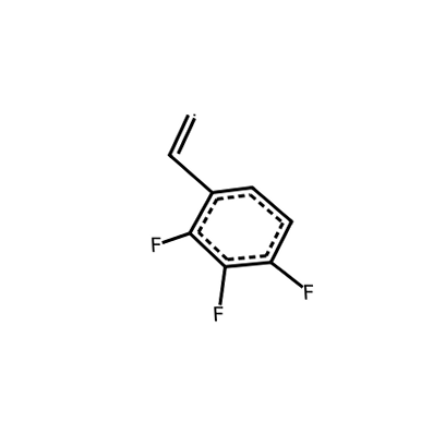 [CH]=Cc1ccc(F)c(F)c1F